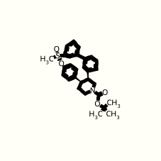 CC(C)(C)OC(=O)N1CC[C@@H](c2ccccc2)[C@@H](c2cccc(-c3cccc(S(C)(=O)=O)c3)c2)C1